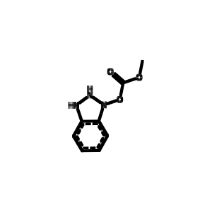 COC(=O)ON1NNc2ccccc21